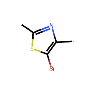 [CH2]c1nc(C)sc1Br